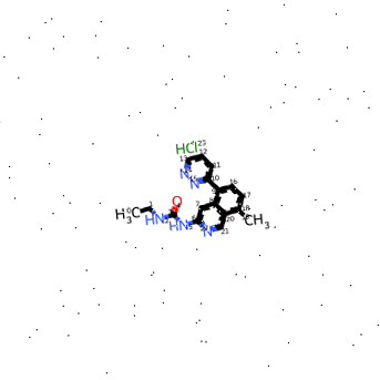 CCNC(=O)Nc1cc2c(-c3cccnn3)ccc(C)c2cn1.Cl